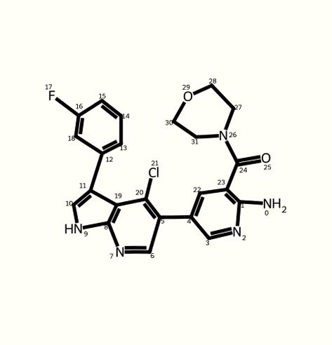 Nc1ncc(-c2cnc3[nH]cc(-c4cccc(F)c4)c3c2Cl)cc1C(=O)N1CCOCC1